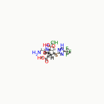 Cl.NCC(=O)N[C@@]1(C(=O)O)C[C@@H](Sc2n[nH]c(C(F)(F)F)n2)[C@H]2[C@H](C(=O)O)[C@H]21